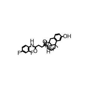 CN1CCC[C@@]2(C)c3cc(O)ccc3C[C@@H]1[C@@H]2NC(=O)CCC(=O)Nc1ccc(F)cc1F